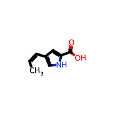 C/C=C\c1c[nH]c(C(=O)O)c1